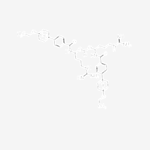 CCOC12CCC(c3ccc(C(=O)NC(CCCNC(=N)N)OBOC(CCCNC(=N)N)NC(=O)c4ccc(C56CCC(OCC)(CC5)CC6)cc4)cc3)(CC1)CC2